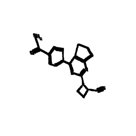 N#CC1CCN1c1nc2c(c(-c3ccc(C(N)=O)cc3)n1)CCC2